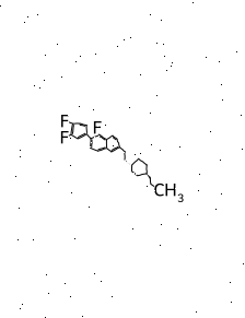 CCC[C@H]1CC[C@H](CCc2ccc3c(F)c(-c4ccc(F)c(F)c4)ccc3c2)CC1